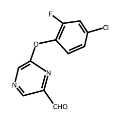 O=Cc1cncc(Oc2ccc(Cl)cc2F)n1